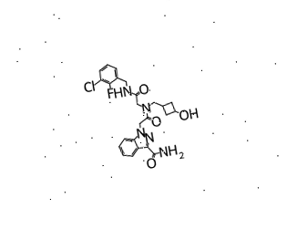 NC(=O)c1nn(CC(=O)N(CC(=O)NCc2cccc(Cl)c2F)CC2CC(O)C2)c2ccccc12